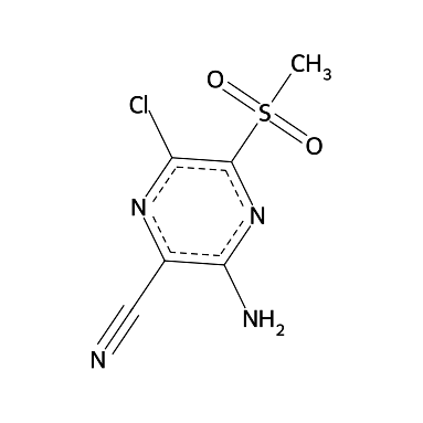 CS(=O)(=O)c1nc(N)c(C#N)nc1Cl